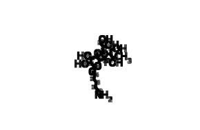 CC(O)C(CO)OC(OC1C(CF)OC(OCCCCCN)C(O)C1O)C(O)CO